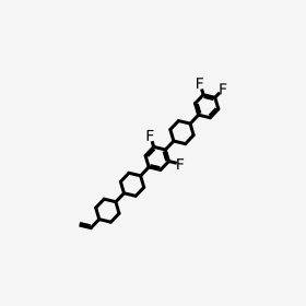 C=CC1CCC(C2CCC(c3cc(F)c(C4CCC(c5ccc(F)c(F)c5)CC4)c(F)c3)CC2)CC1